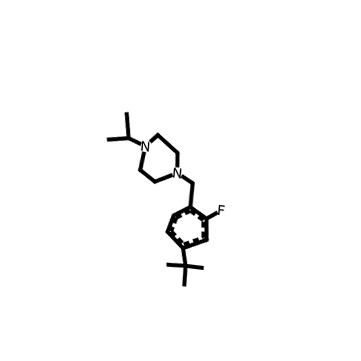 CC(C)N1CCN(Cc2ccc(C(C)(C)C)cc2F)CC1